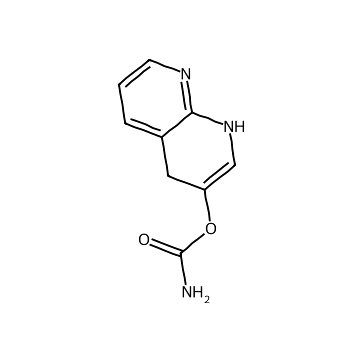 NC(=O)OC1=CNc2ncccc2C1